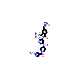 C/N=C/c1ccc2c(c1)C(C)(C)N(c1cncc(NC3CCN(C(=O)c4cnn(C)c4)CC3)c1)C2=O